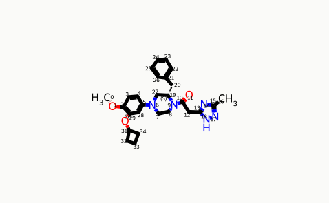 COc1ccc(N2CCN(C(=O)Cc3nc(C)n[nH]3)[C@@H](Cc3ccccc3)C2)cc1OC1CCC1